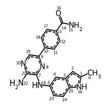 Cc1cc2cc(Nc3nc(-c4ccc(C(N)=O)cc4)cnc3N)ccc2[nH]1